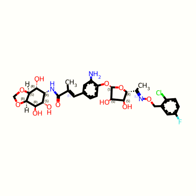 C/C(=C\c1ccc(O[C@@H]2O[C@H](/C(C)=N/OCc3cc(F)ccc3Cl)[C@@H](O)[C@@H]2O)c(N)c1)C(=O)N[C@@H]1[C@H](O)[C@@H](O)[C@H]2OCO[C@H]2[C@@H]1O